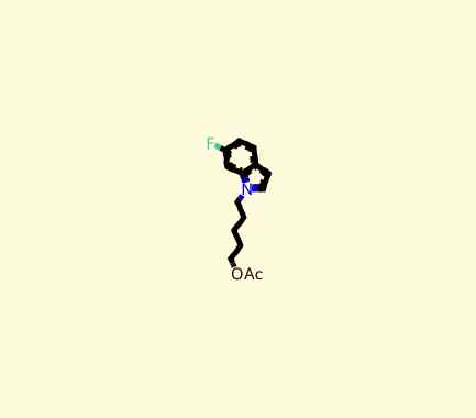 CC(=O)OCCCCCn1ccc2ccc(F)cc21